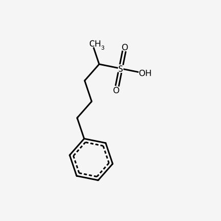 CC(CCCc1ccccc1)S(=O)(=O)O